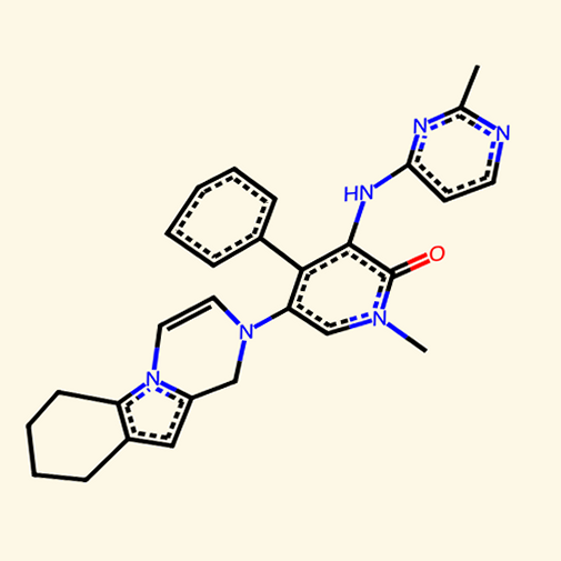 Cc1nccc(Nc2c(-c3ccccc3)c(N3C=Cn4c(cc5c4CCCC5)C3)cn(C)c2=O)n1